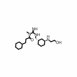 CN(C(=N)NC[C@H]1CCC[C@H](NCCO)C1)C(=O)CCC1CCCCC1